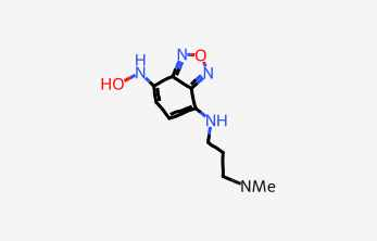 CNCCCNc1ccc(NO)c2nonc12